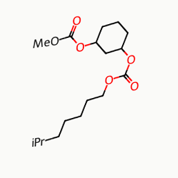 COC(=O)OC1CCCC(OC(=O)OCCCCCC(C)C)C1